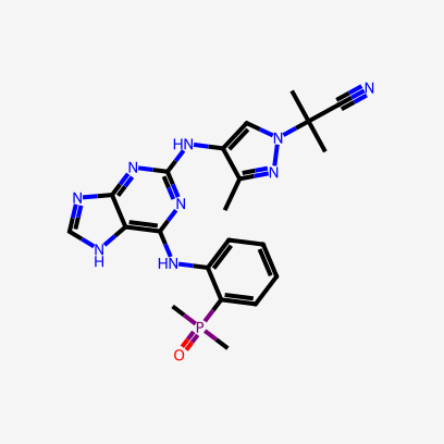 Cc1nn(C(C)(C)C#N)cc1Nc1nc(Nc2ccccc2P(C)(C)=O)c2[nH]cnc2n1